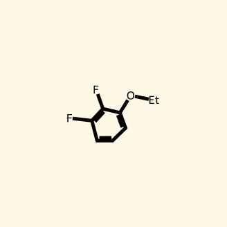 [CH2]COc1cccc(F)c1F